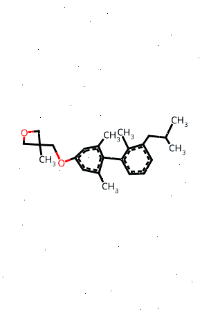 Cc1cc(OCC2(C)COC2)cc(C)c1-c1cccc(CC(C)C)c1C